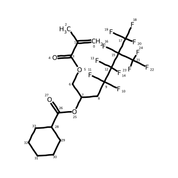 C=C(C)C(=O)OCC(CC(F)(F)C(F)(F)C(F)(C(F)(F)F)C(F)(F)F)OC(=O)C1CCCCC1